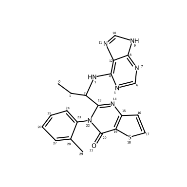 CCC(Nc1ncnc2[nH]cnc12)c1nc2ccsc2c(=O)n1-c1ccccc1C